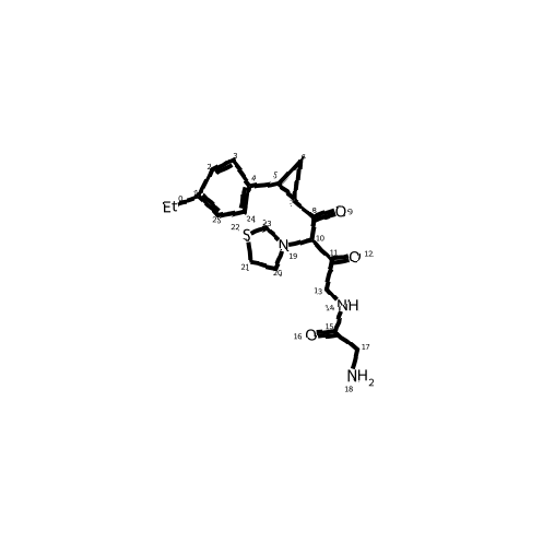 CCc1ccc(C2CC2C(=O)C(C(=O)CNC(=O)CN)N2CCSC2)cc1